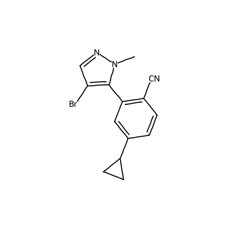 Cn1ncc(Br)c1-c1cc(C2CC2)ccc1C#N